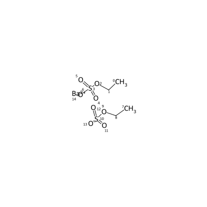 CCOS(=O)(=O)[O-].CCOS(=O)(=O)[O-].[Ba+2]